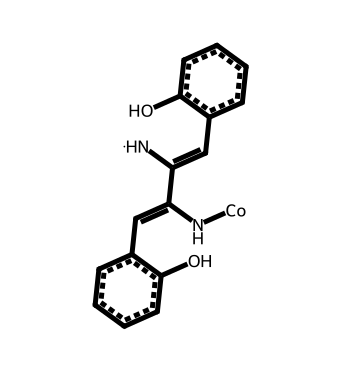 [NH]C(=Cc1ccccc1O)C(=Cc1ccccc1O)[NH][Co]